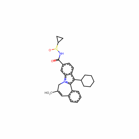 O=C(O)C1=Cc2ccccc2-c2c(C3CCCCC3)c3ccc(C(=O)N[S+]([O-])C4CC4)cc3n2C1